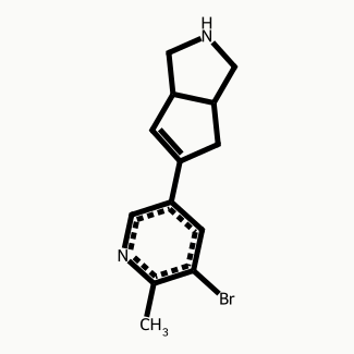 Cc1ncc(C2=CC3CNCC3C2)cc1Br